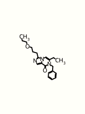 CCCOCCCc1ncc2c(=O)n(Cc3ccccc3)c(CC)cn12